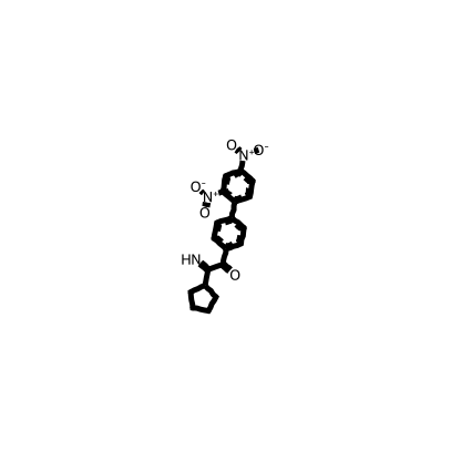 N=C(C(=O)c1ccc(-c2ccc([N+](=O)[O-])cc2[N+](=O)[O-])cc1)C1CCCC1